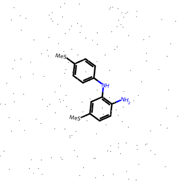 CSc1ccc(Nc2cc(SC)ccc2N)cc1